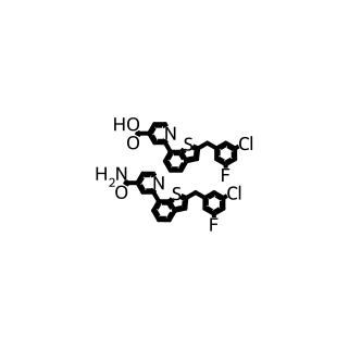 NC(=O)c1ccnc(-c2cccc3cc(Cc4cc(F)cc(Cl)c4)sc23)c1.O=C(O)c1ccnc(-c2cccc3cc(Cc4cc(F)cc(Cl)c4)sc23)c1